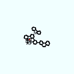 CC1(C)OB(c2ccc(-c3ccc4c(ccc5ccccc54)c3)cc2-c2cc(-n3c4ccccc4c4ccccc43)cc3c2sc2ccccc23)OC1(C)C